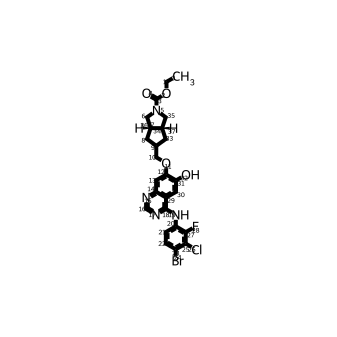 CCOC(=O)N1C[C@H]2CC(COc3cc4ncnc(Nc5ccc(Br)c(Cl)c5F)c4cc3O)C[C@H]2C1